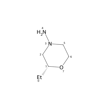 CC[C@@H]1CN(N)CCO1